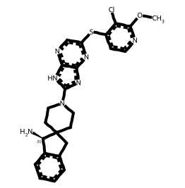 COc1nccc(Sc2cnc3[nH]c(N4CCC5(CC4)Cc4ccccc4[C@H]5N)nc3n2)c1Cl